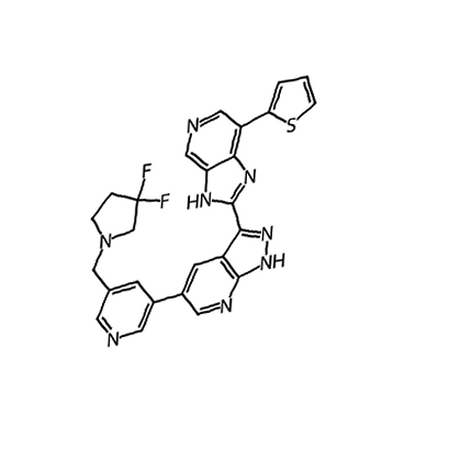 FC1(F)CCN(Cc2cncc(-c3cnc4[nH]nc(-c5nc6c(-c7cccs7)cncc6[nH]5)c4c3)c2)C1